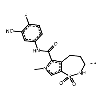 C[C@H]1CCc2c(cn(C)c2C(=O)Nc2ccc(F)c(C#N)c2)S(=O)(=O)N1